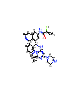 C=C(F)C(=O)Nc1ccc2c(-c3ccccc3CNc3nc(N4CCNCC4)nc4c(C(C)C)cnn34)nccc2c1